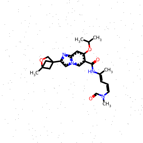 C/C(=C\C=C/N(C)C=O)NC(=O)c1cn2cc(C34COC(C)(C3)C4)nc2cc1OC(C)C